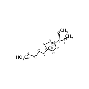 C=C/C(=C\C)C12CCC(CCOCC(=O)O)(CC1)CO2